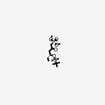 CC[C@H](CC(=O)CP(=O)(OC)OC)O[Si](C)(C)C(C)(C)C